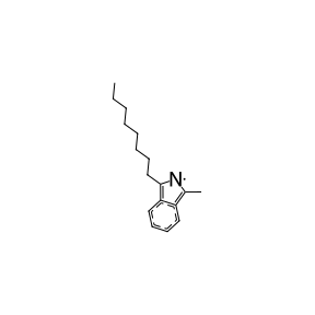 CCCCCCCCC1=c2ccccc2=C(C)[N]1